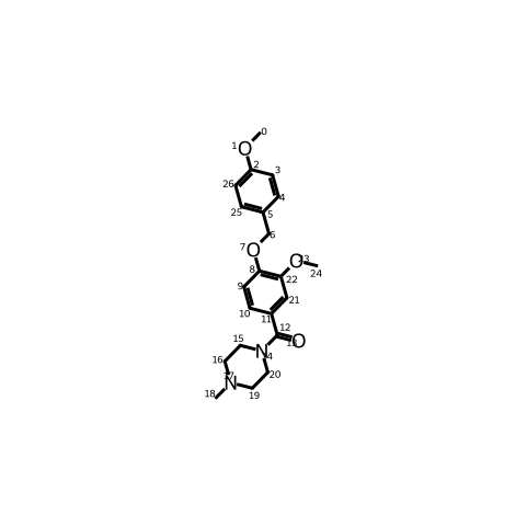 COc1ccc(COc2ccc(C(=O)N3CCN(C)CC3)cc2OC)cc1